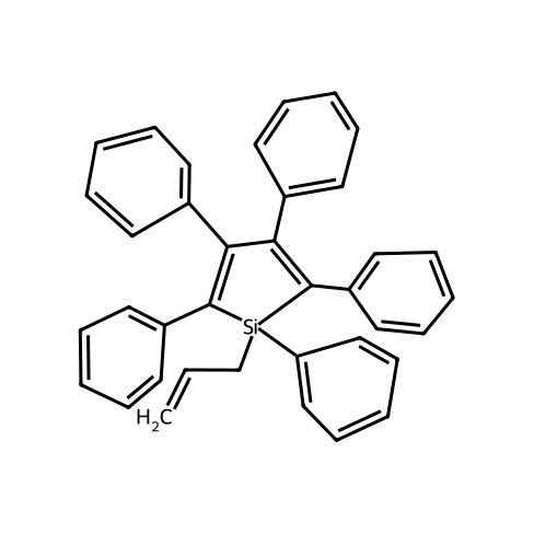 C=CC[Si]1(c2ccccc2)C(c2ccccc2)=C(c2ccccc2)C(c2ccccc2)=C1c1ccccc1